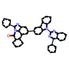 O=c1c2ccccc2c2cc(-c3ccc4c(c3)c3ccccc3n4-c3nc(-c4ccccc4)c4ccccc4n3)cc3nc(-c4ccccc4)n1c32